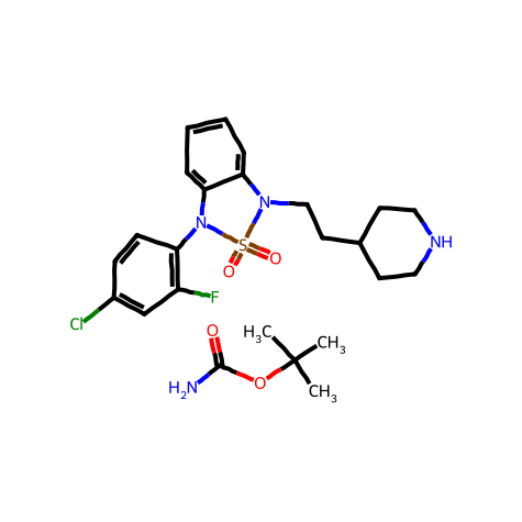 CC(C)(C)OC(N)=O.O=S1(=O)N(CCC2CCNCC2)c2ccccc2N1c1ccc(Cl)cc1F